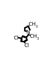 C[C@@H]1CCN([C@@H](C)c2cc(Cl)cc(Cl)c2)C1